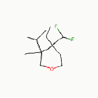 CCC1(C(F)F)CCOCC1(C)C(C)C